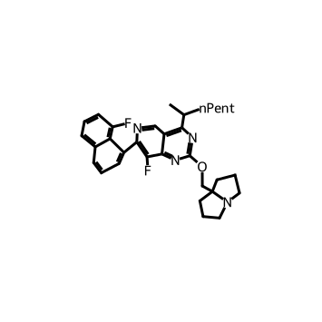 CCCCCC(C)c1nc(OCC23CCCN2CCC3)nc2c(F)c(-c3cccc4cccc(F)c34)ncc12